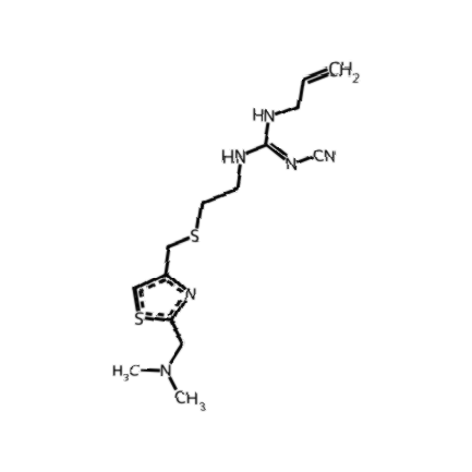 C=CCNC(=NC#N)NCCSCc1csc(CN(C)C)n1